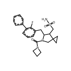 NS(=O)(=O)CC1C(Cc2cccc(-c3ccccc3)c2F)N(C(=O)N2CCC2)CC12CC2